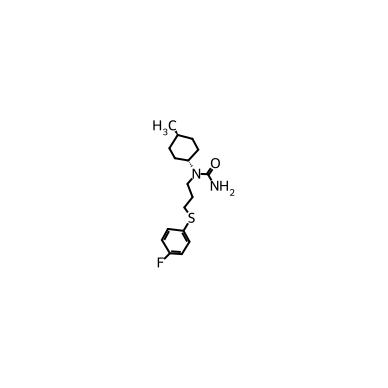 C[C@H]1CC[C@H](N(CCCSc2ccc(F)cc2)C(N)=O)CC1